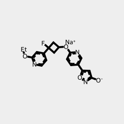 CCOc1cc(C2(F)CC(Oc3ccc(-c4cc([O-])no4)cn3)C2)ccn1.[Na+]